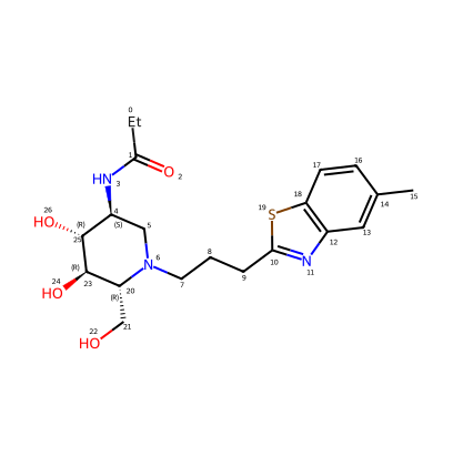 CCC(=O)N[C@H]1CN(CCCc2nc3cc(C)ccc3s2)[C@H](CO)[C@@H](O)[C@@H]1O